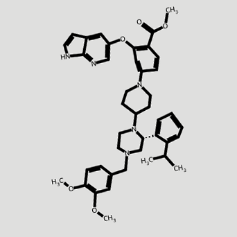 COC(=O)c1ccc(N2CCC(N3CCN(Cc4ccc(OC)c(OC)c4)C[C@H]3c3ccccc3C(C)C)CC2)cc1Oc1cnc2[nH]ccc2c1